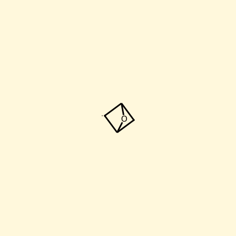 [CH]1C2CC1O2